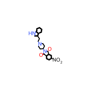 O=C1c2ccc([N+](=O)[O-])cc2C(=O)N1C1CCN(CCc2c[nH]c3ccccc23)CC1